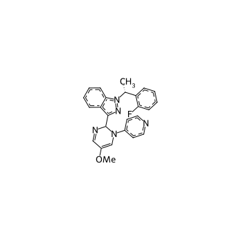 COC1=CN(c2ccncc2)C(c2nn([C@H](C)c3ccccc3F)c3ccccc23)N=C1